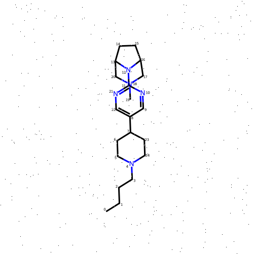 CCCCN1CCC(c2cnc(N3C4CCC3CN(C)C4)nc2)CC1